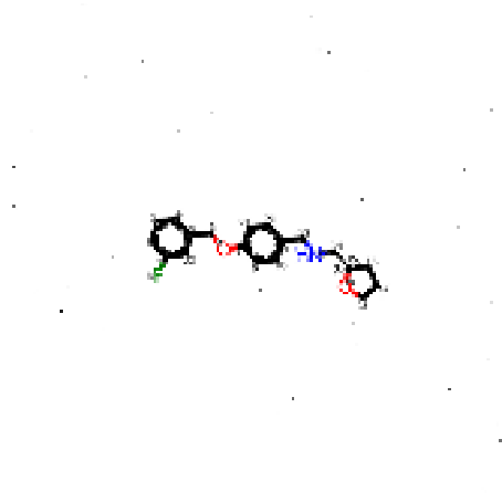 Fc1cccc(COc2ccc(CNC[C@H]3CCCO3)cc2)c1